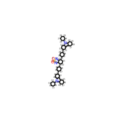 O=S1(=O)N=c2c(-c3ccc(-c4ccc5c(c4)c4ccccc4n5-c4ccccc4)cc3)ccc(-c3ccc(-c4ccc5c(c4)c4ccccc4n5-c4ccccc4)cc3)c2=N1